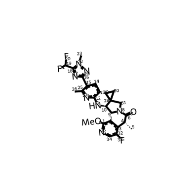 COc1cc([C@@H](C)C(=O)N2C[C@@H](Nc3ccc(-c4nc(C(F)F)n(C)n4)c(C)n3)C3(CC3)C2)c(F)cn1